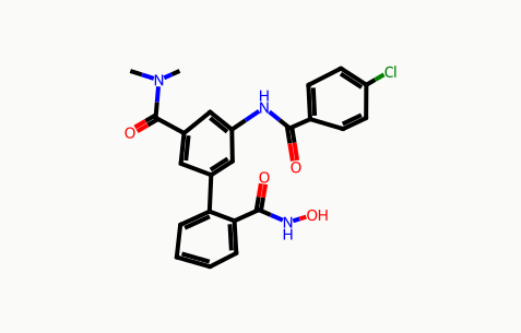 CN(C)C(=O)c1cc(NC(=O)c2ccc(Cl)cc2)cc(-c2ccccc2C(=O)NO)c1